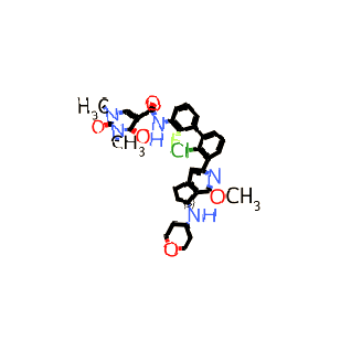 COc1nc(-c2cccc(-c3cccc(NC(=O)c4cn(C)c(=O)n(C)c4=O)c3F)c2Cl)cc2c1[C@@H](NC1CCOCC1)CC2